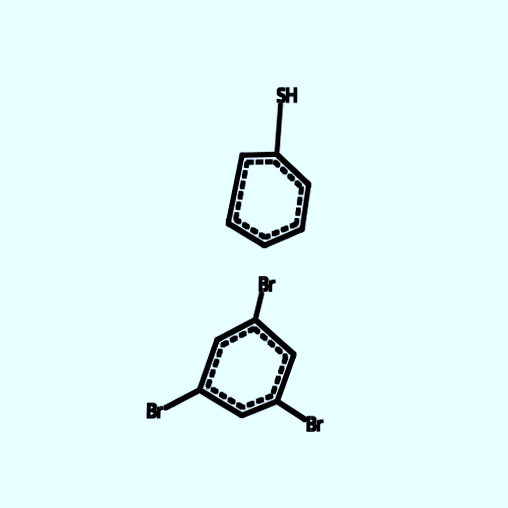 Brc1cc(Br)cc(Br)c1.Sc1ccccc1